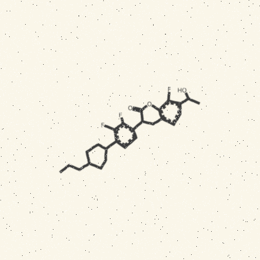 CCCC1CCC(c2ccc(C3Cc4ccc(C(C)O)c(F)c4OC3=O)c(F)c2F)CC1